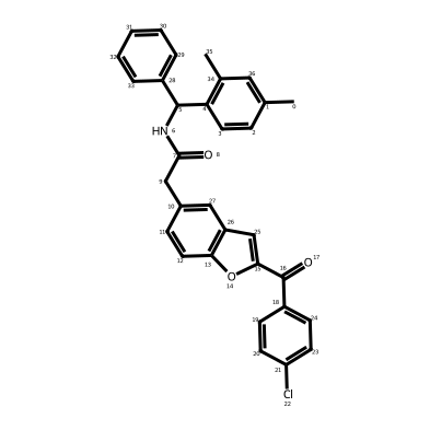 Cc1ccc(C(NC(=O)Cc2ccc3oc(C(=O)c4ccc(Cl)cc4)cc3c2)c2ccccc2)c(C)c1